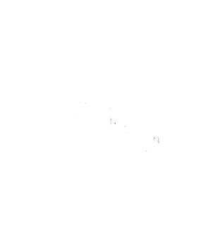 C=C1c2cc(CC)ccc2CN1c1ccc2c(c1)cc1n2CCC1